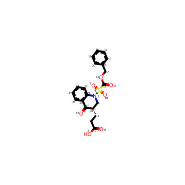 O=C(O)CC[C@H]1CN(S(=O)(=O)C(=O)OCc2ccccc2)c2ccccc2C1=O